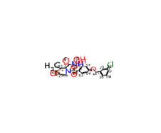 CC1C(C(=O)NO)N(S(=O)(=O)c2ccc(OCc3cccc(Cl)c3)cc2)CC[S+]1[O-]